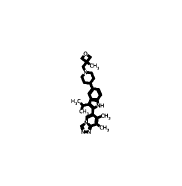 Cc1c(-c2[nH]c3ccc(C4CCN(CC5(C)COC5)CC4)cc3c2C(C)C)cn2cnnc2c1C